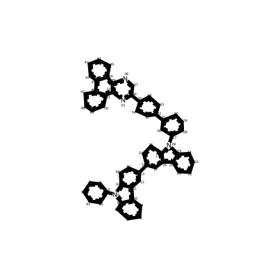 c1ccc(-n2c3ccccc3c3cc(-c4ccc5c(c4)c4ccccc4n5-c4cccc(-c5ccc(-c6cnc7c8ccccc8c8ccccc8c7n6)cc5)c4)ccc32)cc1